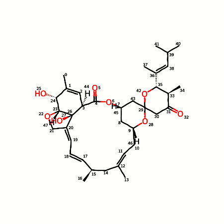 CC1=C[C@H]2C(=O)O[C@H]3C[C@@H](C/C=C(\C)C[C@@H](C)/C=C/C=C4\CO[C@H]([C@@H]1O)[C@@]42O)OC1(CC(=O)[C@H](C)[C@@H](/C(C)=C/C(C)C)O1)C3